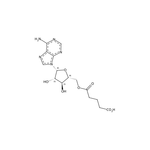 Nc1ncnc2c1ncn2[C@@H]1O[C@H](COC(=O)CCCC(=O)O)[C@@H](O)[C@@H]1O